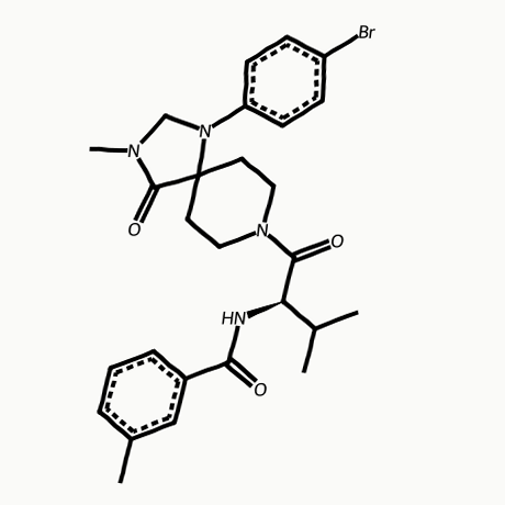 Cc1cccc(C(=O)N[C@@H](C(=O)N2CCC3(CC2)C(=O)N(C)CN3c2ccc(Br)cc2)C(C)C)c1